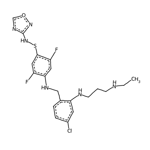 CCNCCCNc1cc(Cl)ccc1CNc1cc(F)c(SNc2ncon2)cc1F